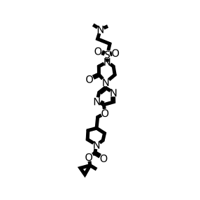 CN(C)CCS(=O)(=O)N1CCN(c2cnc(OCC3CCN(C(=O)OC4(C)CC4)CC3)cn2)C(=O)C1